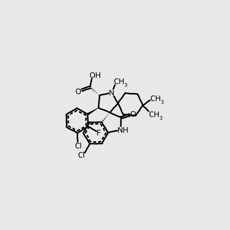 CN1[C@@H](C(=O)O)[C@H](c2cccc(Cl)c2F)[C@]2(C(=O)Nc3cc(Cl)ccc32)C12CCC(C)(C)CC2